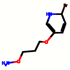 NOCCCOC1=CNC(Br)C=C1